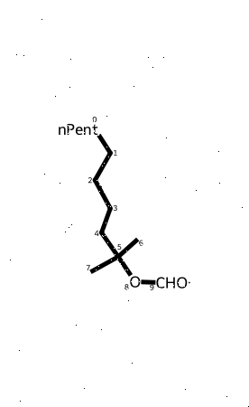 CCCCCCCCCC(C)(C)O[C]=O